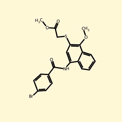 COC(=O)CSc1cc(NC(=O)c2ccc(Br)cc2)c2ccccc2c1OC